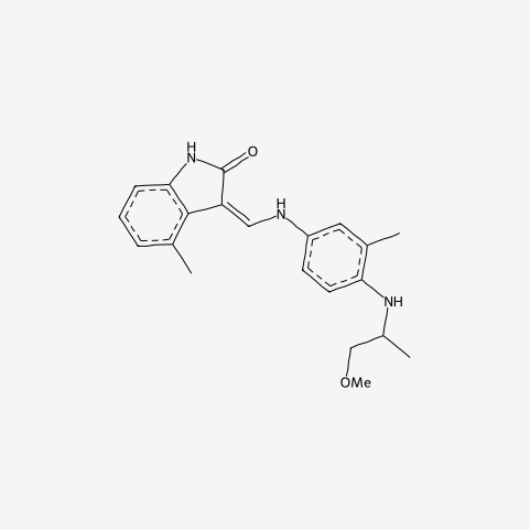 COCC(C)Nc1ccc(NC=C2C(=O)Nc3cccc(C)c32)cc1C